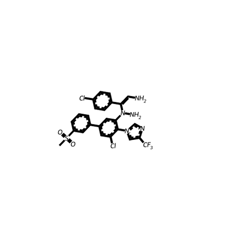 CS(=O)(=O)c1cccc(-c2cc(Cl)c(-n3cnc(C(F)(F)F)c3)c(N(N)/C(=C\N)c3ccc(Cl)cc3)c2)c1